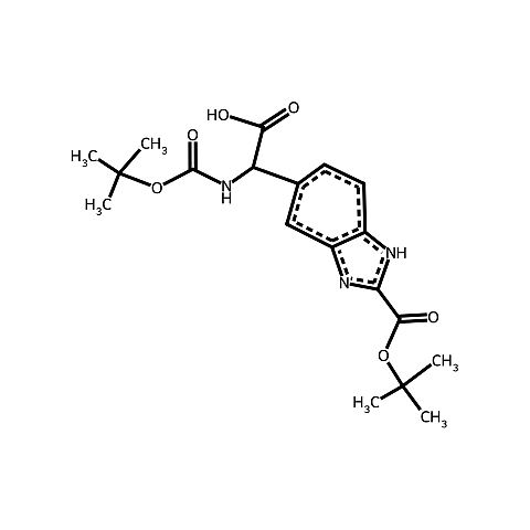 CC(C)(C)OC(=O)NC(C(=O)O)c1ccc2[nH]c(C(=O)OC(C)(C)C)nc2c1